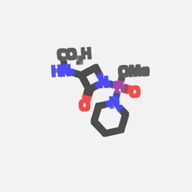 COP(=O)(N1CCCCC1)N1CC(NC(=O)O)C1=O